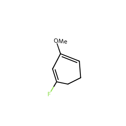 COC1=CCCC(F)=C1